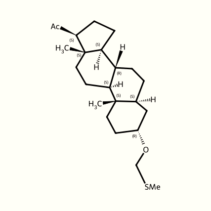 CSCO[C@@H]1CC[C@@]2(C)[C@@H](CC[C@@H]3[C@@H]2CC[C@]2(C)[C@@H](C(C)=O)CC[C@@H]32)C1